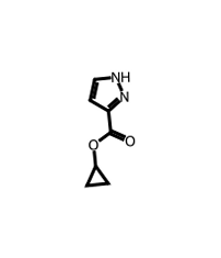 O=C(OC1CC1)c1cc[nH]n1